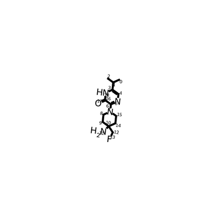 CC(C)c1cnc(N2CCC(N)(CF)CC2)c(=O)[nH]1